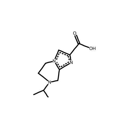 CC(C)N1CCn2cc(C(=O)O)nc2C1